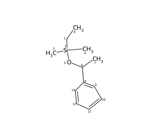 CC[Si](C)(C)OC(C)c1ccccc1